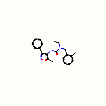 CCN(Cc1ccccc1C)C(=O)Nc1c(-c2ccccc2)noc1C